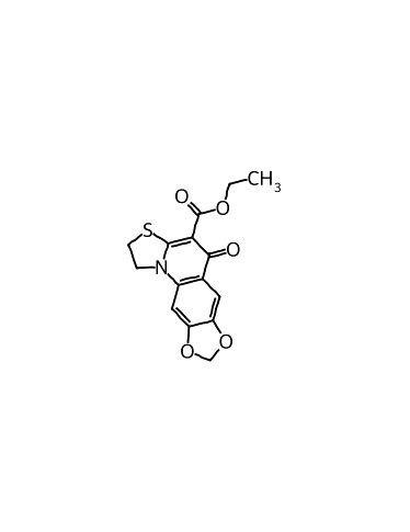 CCOC(=O)c1c2n(c3cc4c(cc3c1=O)OCO4)CCS2